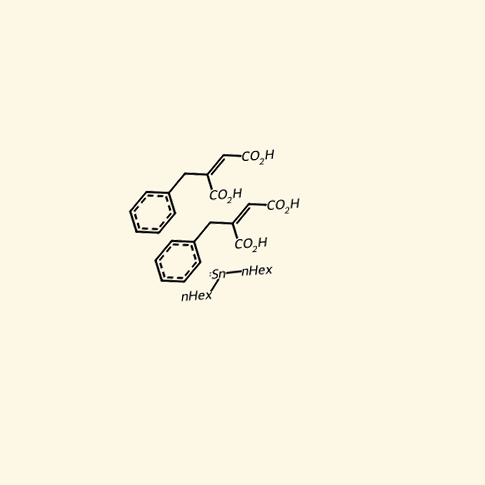 CCCCC[CH2][Sn][CH2]CCCCC.O=C(O)/C=C(/Cc1ccccc1)C(=O)O.O=C(O)/C=C(/Cc1ccccc1)C(=O)O